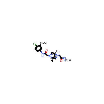 COc1cc(NC(=O)CN2C[C@@H]3C[C@H]2CN3CC(=O)NC(C)(C)C)ccc1Cl